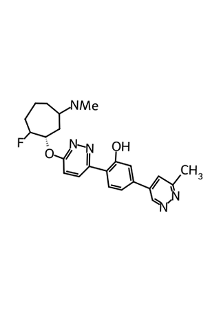 CNC1CCCC(F)[C@@H](Oc2ccc(-c3ccc(-c4cnnc(C)c4)cc3O)nn2)C1